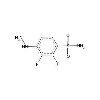 NNc1ccc(S(N)(=O)=O)c(F)c1F